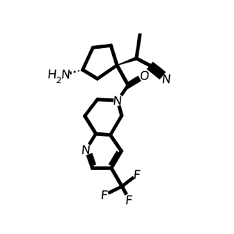 CC(C#N)[C@]1(C(=O)N2CCC3N=CC(C(F)(F)F)=CC3C2)CC[C@@H](N)C1